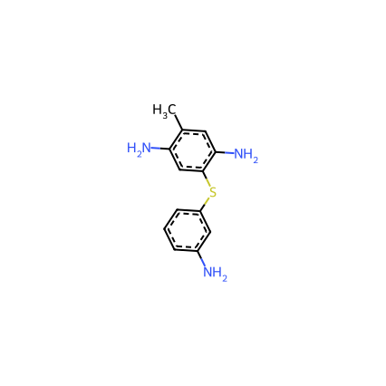 Cc1cc(N)c(Sc2cccc(N)c2)cc1N